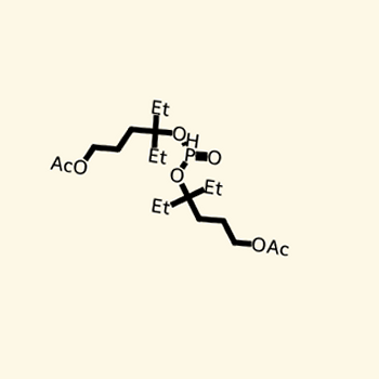 CCC(CC)(CCCOC(C)=O)O[PH](=O)OC(CC)(CC)CCCOC(C)=O